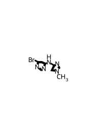 Cn1cnc(Nc2cc(Br)ncn2)c1